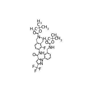 CC(C)(C)OC(=O)NCc1cccc(-n2nc(C(F)(F)F)cc2C(=O)Nc2ccc3c(c2F)CCN(C(=O)OC(C)(C)C)C3)c1